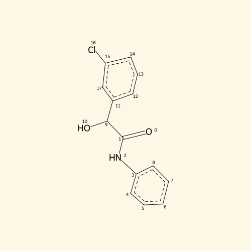 O=C(Nc1ccccc1)C(O)c1cccc(Cl)c1